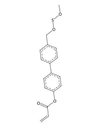 C=CC(=O)Oc1ccc(-c2ccc(COSOC)cc2)cc1